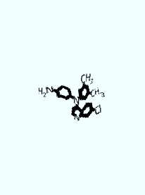 Cc1cc(C)cc(N(c2ccnc3cc(Cl)ccc23)C2CCC(N)CC2)c1